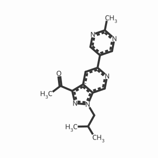 CC(=O)c1nn(CC(C)C)c2cnc(-c3cnc(C)nc3)cc12